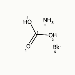 N.O=C(O)O.[Bk]